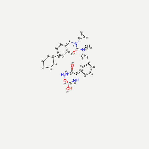 CN(C)C(=O)N(Cc1ccc(C2CCCCC2)cc1)C1CC1.NC(=O)[C@@H](NC(=O)O)c1ccccc1